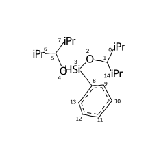 CC(C)C(O[SiH](OC(C(C)C)C(C)C)c1ccccc1)C(C)C